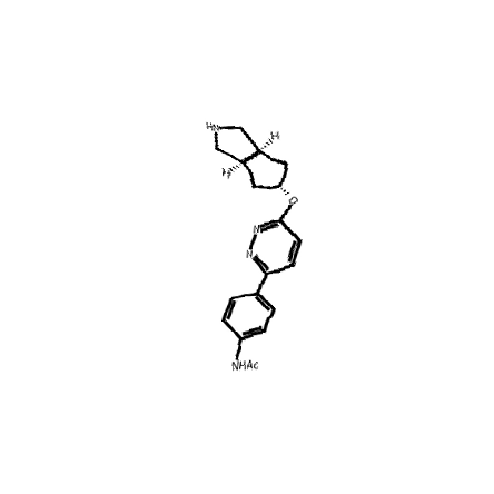 CC(=O)Nc1ccc(-c2ccc(O[C@@H]3C[C@H]4CNC[C@H]4C3)nn2)cc1